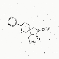 COCC1C(=O)N(C(=O)O)CC12CCC(c1ccccc1)CC2